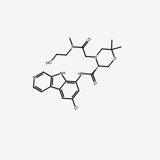 CN(CCO)C(=O)CN1CC(C)(C)OC[C@H]1C(=O)Nc1cc(Cl)cc2c1[nH]c1cnccc12